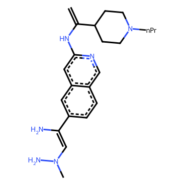 C=C(Nc1cc2cc(/C(N)=C/N(C)N)ccc2cn1)C1CCN(CCC)CC1